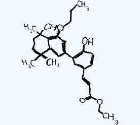 CCCOc1cc(-c2cc(/C=C/C(=O)OCC)ccc2O)cc2c1C(C)(C)CCC2(C)C